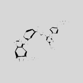 COc1ccc(-n2nc(C(C)C)cc2NC(=O)Nc2cccc(Sc3ncnc4cc(C)c(OC)cc34)c2)cc1